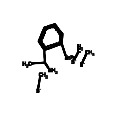 CC(N)c1cccc[c]1[Sn+3].C[S-].C[S-].C[S-]